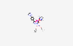 CC(C)(C)OC(=O)N1[C@@H]2CC[C@H]1C[C@@H](c1cc(N(COCC[Si](C)(C)C)COCC[Si](C)(C)C)n3ncc(-c4ccc(-c5ncccn5)cc4)c3n1)C2